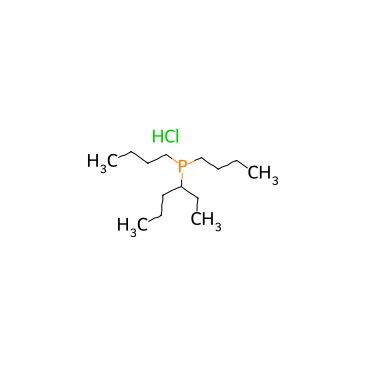 CCCCP(CCCC)C(CC)CCC.Cl